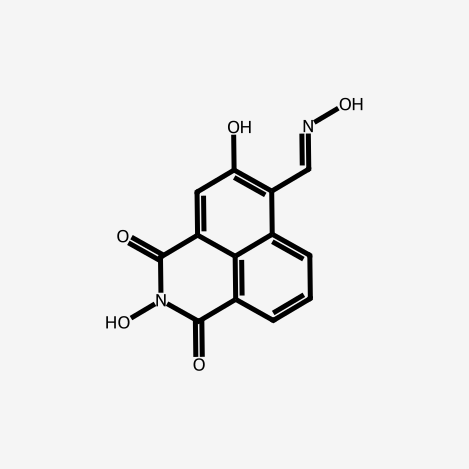 O=C1c2cccc3c(C=NO)c(O)cc(c23)C(=O)N1O